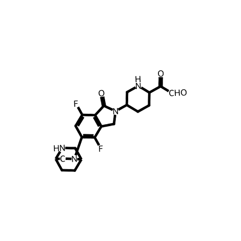 O=CC(=O)C1CCC(N2Cc3c(F)c(N4CC5CCC4CN5)cc(F)c3C2=O)CN1